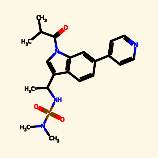 CC(C)C(=O)n1cc(C(C)NS(=O)(=O)N(C)C)c2ccc(-c3ccncc3)cc21